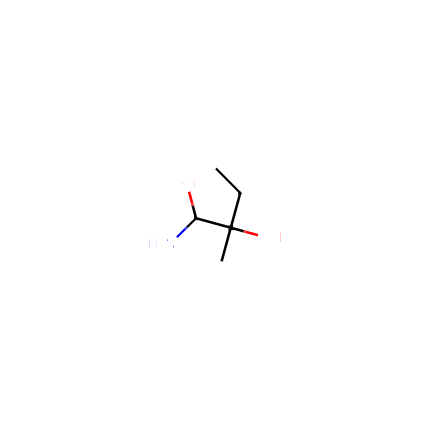 CCC(C)(O)C(N)O